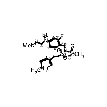 C=C/C=C\C(=C/C)CCS(=O)(=O)N(Cc1ccc(N(CC)CCNC)cc1F)S(C)(=O)=O